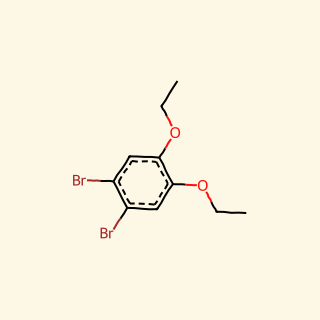 CCOc1cc(Br)c(Br)cc1OCC